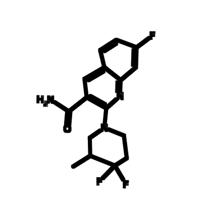 CC1CN(c2nc3cc(F)ccc3cc2C(N)=O)CCC1(F)F